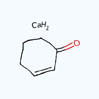 O=C1C=CCCC1.[CaH2]